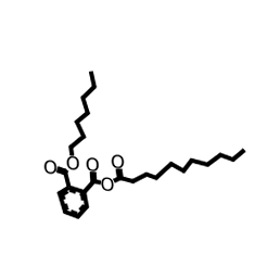 CCCCCCCCCCC(=O)OC(=O)c1ccccc1C(=O)OCCCCCCC